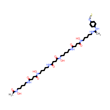 C=C(NCCCCCN(O)C(=O)CCC(=O)NCCCCCN(O)C(=O)CCC(=O)NCCCCCN(O)C(=O)CCC(=O)NCCCCCN(O)C(C)=O)Nc1ccc(N=C=S)cc1